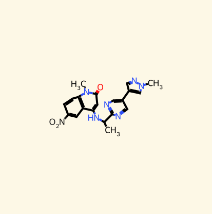 CC(Nc1cc(=O)n(C)c2ccc([N+](=O)[O-])cc12)c1ncc(-c2cnn(C)c2)cn1